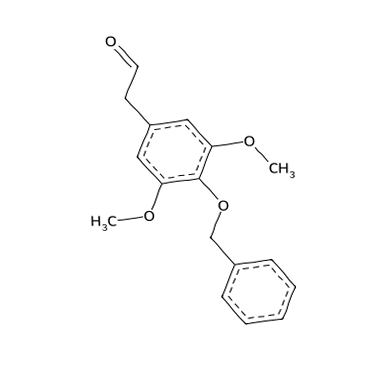 COc1cc(CC=O)cc(OC)c1OCc1ccccc1